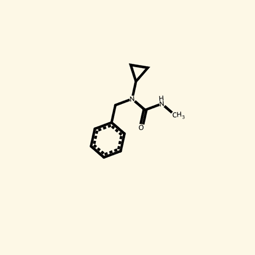 CNC(=O)N(Cc1ccccc1)C1CC1